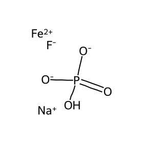 O=P([O-])([O-])O.[F-].[Fe+2].[Na+]